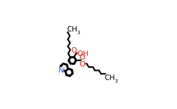 CCCCCCCCOC(=O)c1cccc(CCCCCCCC)c1C(=O)O.c1ccc2ncccc2c1